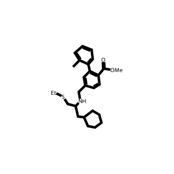 CCSCC(CC1CCCCC1)NCc1ccc(C(=O)OC)c(-c2ccccc2C)c1